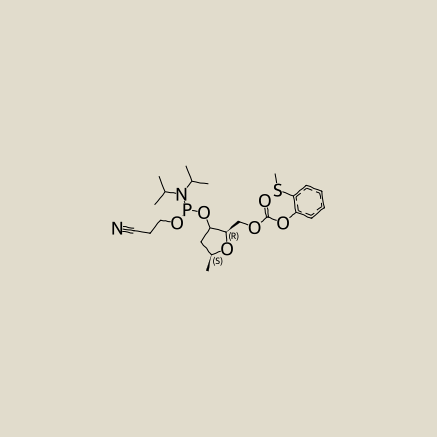 CSc1ccccc1OC(=O)OC[C@H]1O[C@@H](C)CC1OP(OCCC#N)N(C(C)C)C(C)C